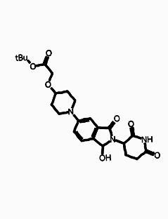 CC(C)(C)OC(=O)COC1CCN(c2ccc3c(c2)C(=O)N(C2CCC(=O)NC2=O)C3O)CC1